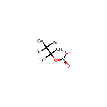 CCC(C)C(C(C)CC)(C(C)CC)C(C)(C)O[Si](=O)O